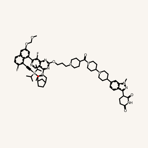 COCOc1cc(-c2ncc3c(N4CC5CCC(C5)C4)nc(OCCCN4CCC(C(=O)N5CCC(N6CCC(c7ccc8c(C9CCC(=O)NC9=O)nn(C)c8c7)CC6)CC5)CC4)nc3c2F)c2c(C#C[Si](C(C)C)(C(C)C)C(C)C)c(F)ccc2c1